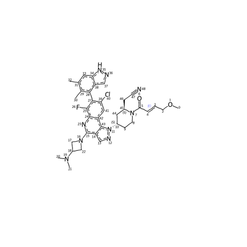 COC/C=C/C(=O)N1CC[C@H](n2ncc3c(N4CC(N(C)C)C4)nc4c(F)c(-c5c(C)c(C)cc6[nH]ncc56)c(Cl)cc4c32)C[C@H]1CC#N